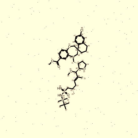 COC(=O)c1ccc2c(c1)N(C[C@@H]1CCO[C@H]1C(OC)/C(F)=C/C[C@H](C)CS(=N)(=O)N[Si](C)(C)C(C)(C)C)C[C@@]1(CCCc3cc(Cl)ccc31)CO2